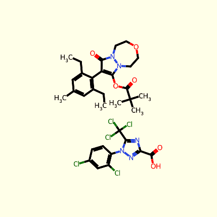 CCc1cc(C)cc(CC)c1-c1c(OC(=O)C(C)(C)C)n2n(c1=O)CCOCC2.O=C(O)c1nc(C(Cl)(Cl)Cl)n(-c2ccc(Cl)cc2Cl)n1